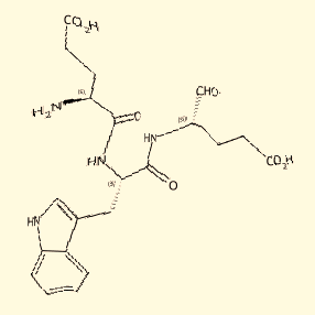 N[C@@H](CCC(=O)O)C(=O)N[C@@H](Cc1c[nH]c2ccccc12)C(=O)N[C@H]([C]=O)CCC(=O)O